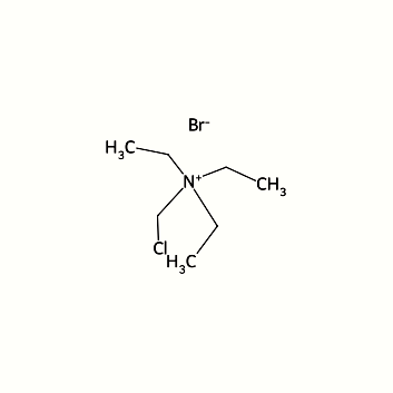 CC[N+](CC)(CC)CCl.[Br-]